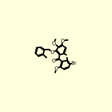 COc1cc(C)c(C(=O)c2c(OC)ccc(Br)c2C)c(OCc2ccccc2C)c1OC